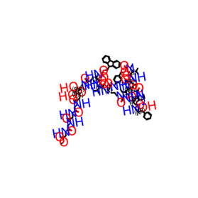 CC[C@H](C)[C@@H]([C@@H](CC(=O)N1CCC[C@H]1[C@H](OC)[C@@H](C)C(=O)N[C@H](C)[C@@H](O)c1ccccc1)OC)N(C)C(=O)[C@@H](NC(=O)[C@H](C(C)C)N(C)C(=O)OCc1ccc(NC(=O)[C@H](CCCNC(N)=O)NC(=O)[C@@H](NC(=O)[C@H](CCC(=O)NC[C@H]2O[C@@H](CC(=O)NCC(=O)NCC(=O)NCC(=O)NCC(=O)OC)[C@H](O)[C@@H]2O)NC(=O)OCC2c3ccccc3-c3ccccc32)C(C)C)cc1)C(C)C